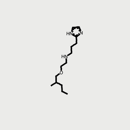 CCCC(C)COCCNCCCc1ncc[nH]1